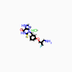 Cl.NC/C(=C/F)COc1cccc(Cn2c(=S)[nH]c(=O)c3[nH]cnc32)c1